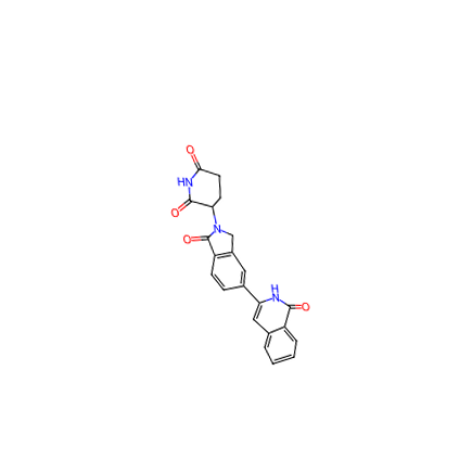 O=C1CCC(N2Cc3cc(-c4cc5ccccc5c(=O)[nH]4)ccc3C2=O)C(=O)N1